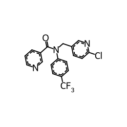 O=C(c1cccnc1)N(Cc1ccc(Cl)nc1)c1ccc(C(F)(F)F)cc1